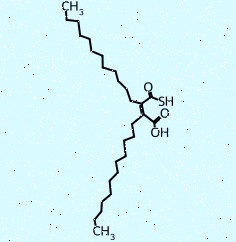 CCCCCCCCCCCC/C(C(=O)O)=C(\CCCCCCCCCCCC)C(=O)S